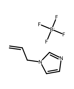 C=CCn1ccnc1.F[B-](F)(F)F